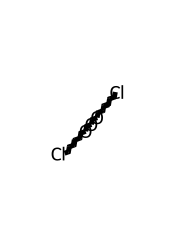 ClCCC=CCCOCOCOCCC=CCCCl